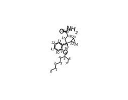 CCCCCC(CC)Oc1ccccc1C(C)(CCC(N)=O)C1CC1